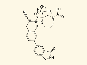 CC(C)(C)C1(C(=O)N[C@H](C#N)Cc2ccc(-c3ccc4c(c3)C(=O)NC4)cc2F)CN(C(=O)O)CCCO1